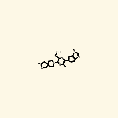 Cc1nc(N2CCC3(CC2)CO[C@@H](C)C3)c(CO)nc1-c1ccc2ncn(C)c2c1